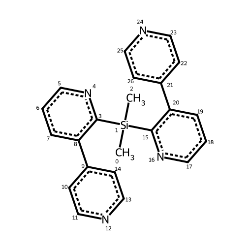 C[Si](C)(c1ncccc1-c1ccncc1)c1ncccc1-c1ccncc1